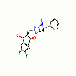 Cn1c(-c2ccccc2)cc2sc(C=C3C(=O)c4cc(F)c(F)cc4C3=O)nc21